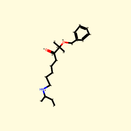 CCC(C)NCCCCCC(=O)C(C)(C)OCc1ccccc1